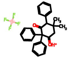 CC1(C)CC(=[OH+])C(c2ccccc2)(c2ccccc2)C(=O)C1c1ccccc1.F[B-](F)(F)F